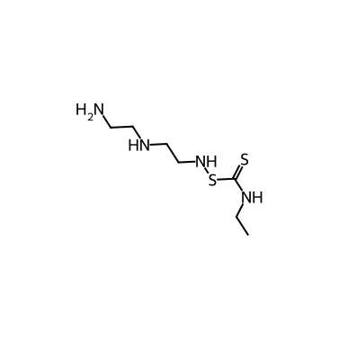 CCNC(=S)SNCCNCCN